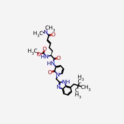 COC(=O)N[C@@H](CC/C=C/C(=O)N(C)C)C(=O)Nc1cccn(Cc2nc3cccc(CC(C)(C)C)c3[nH]2)c1=O